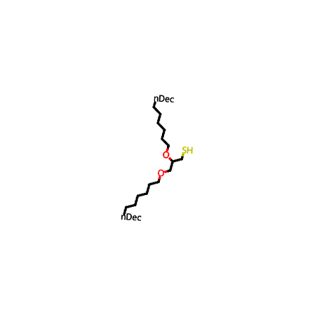 CCCCCCCCCCCCCCCCOCC(CS)OCCCCCCCCCCCCCCCC